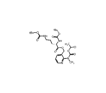 CC(Cl)OC(=O)N(C)c1ncccc1COC(=O)[C@H](CCCNC(=O)OC(C)(C)C)NC(=O)OC(C)(C)C